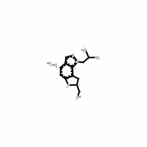 CC(N)Cn1ncc2ccc3c(c21)CC(CO)O3.Cl.Cl